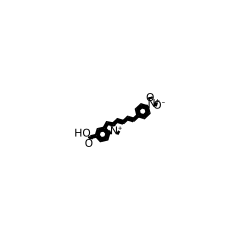 C[N+]1=C(/C=C/C=C/c2ccc([N+](=O)[O-])cc2)Cc2cc(C(=O)O)ccc21